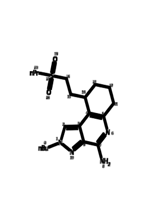 CCCCn1cc2c3c(nc(N)c2n1)CCCC3CCS(=O)(=O)CCC